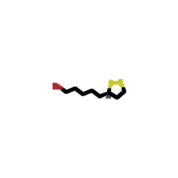 BrCCCCC[C@@H]1CCSS1